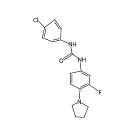 O=C(Nc1ccc(Cl)cc1)Nc1ccc(N2CCCC2)c(F)c1